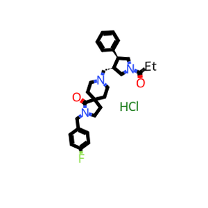 CCC(=O)N1C[C@H](CN2CCC3(CC2)CCN(Cc2ccc(F)cc2)C3=O)[C@@H](c2ccccc2)C1.Cl